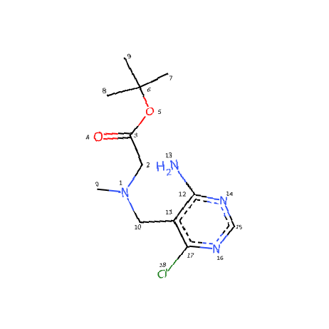 CN(CC(=O)OC(C)(C)C)Cc1c(N)ncnc1Cl